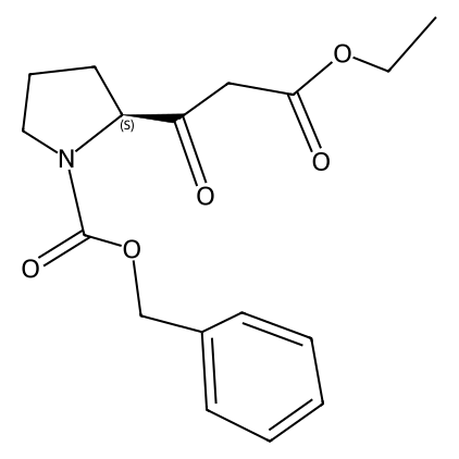 CCOC(=O)CC(=O)[C@@H]1CCCN1C(=O)OCc1ccccc1